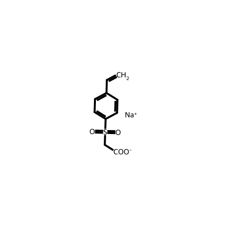 C=Cc1ccc(S(=O)(=O)CC(=O)[O-])cc1.[Na+]